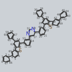 c1ccc(-c2ccc3sc4c(-c5cccc(-c6cc(-c7cccc(-c8cc(-c9ccccc9)cc9c8sc8ccc(-c%10ccccc%10)cc89)c7)ncn6)c5)cc(-c5ccccc5)cc4c3c2)cc1